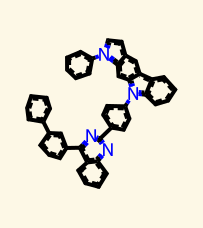 c1ccc(-c2cccc(-c3nc(-c4ccc(-n5c6ccccc6c6cc7ccn(-c8ccccc8)c7cc65)cc4)nc4ccccc34)c2)cc1